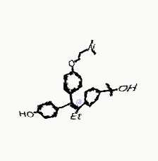 CC/C(=C(\c1ccc(O)cc1)c1ccc(OCCN(C)C)cc1)c1ccc(C(C)(C)O)cc1